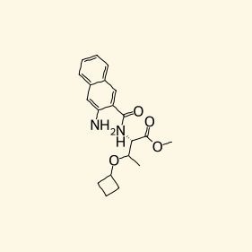 COC(=O)[C@@H](NC(=O)c1cc2ccccc2cc1N)C(C)OC1CCC1